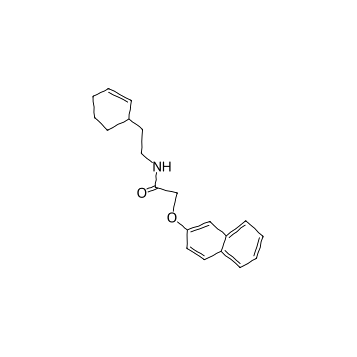 O=C(COc1ccc2ccccc2c1)NCCC1C=CCCC1